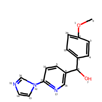 COc1ccc(C(O)c2ccc(-n3ccnc3)nc2)cc1